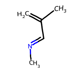 C=C(C)/C=N/C